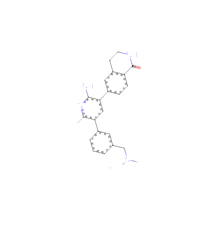 CN(C)Cc1cccc(-c2cc(-c3ccc4c(c3)CCNC4=O)c(N)nc2F)c1